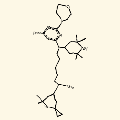 CC(C)c1nc(N2CCOCC2)nc(N(CCCCCC(C2CC(C)(C)NC3(CC3)C2)C(C)(C)C)C2CC(C)(C)NC(C)(C)C2)n1